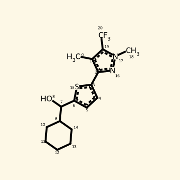 Cc1c(-c2ccc(C(O)C3CCCCC3)s2)nn(C)c1C(F)(F)F